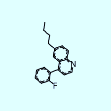 CCCCc1ccc2nccc(-c3ccccc3F)c2c1